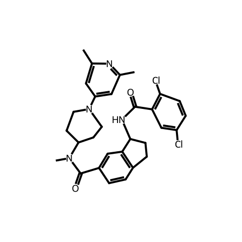 Cc1cc(N2CCC(N(C)C(=O)c3ccc4c(c3)C(NC(=O)c3cc(Cl)ccc3Cl)CC4)CC2)cc(C)n1